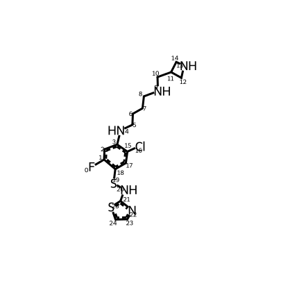 Fc1cc(NCCCCNCC2CNC2)c(Cl)cc1SNc1nccs1